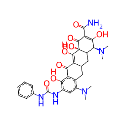 CN(C)c1cc(NC(=O)Nc2ccccc2)c(O)c2c1CC1CC3[C@H](N(C)C)C(O)=C(C(N)=O)C(=O)[C@@]3(O)C(O)=C1C2=O